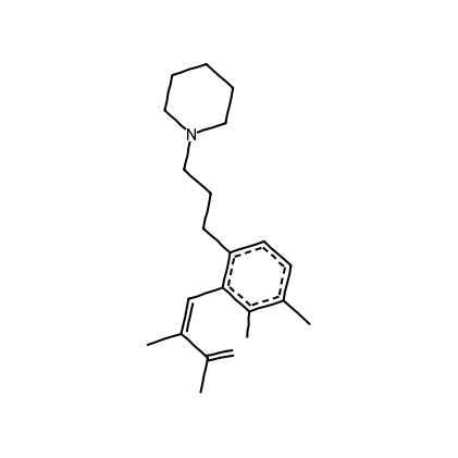 C=C(C)/C(C)=C\c1c(CCCN2CCCCC2)ccc(C)c1C